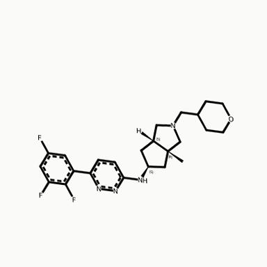 C[C@@]12C[C@@H](Nc3ccc(-c4cc(F)cc(F)c4F)nn3)C[C@@H]1CN(CC1CCOCC1)C2